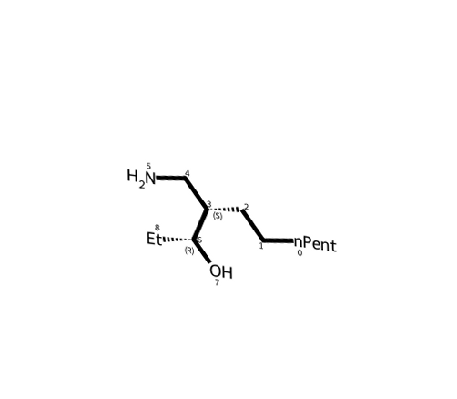 CCCCCCC[C@@H](CN)[C@H](O)CC